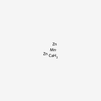 [CaH2].[Mn].[Zn].[Zn]